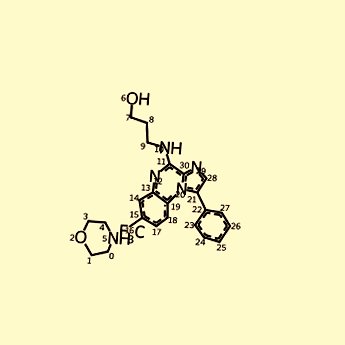 C1COCCN1.OCCCNc1nc2cc(C(F)(F)F)ccc2n2c(-c3ccccc3)cnc12